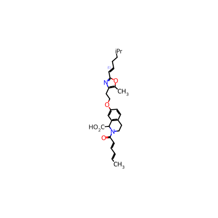 CC=CC=CC(=O)N1CCc2ccc(OCCc3nc(/C=C/CCC(C)C)oc3C)cc2C1C(=O)O